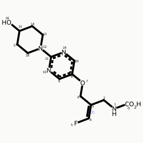 O=C(O)NC/C(=C/F)COc1cnc(N2CCC(O)CC2)nc1